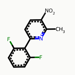 Cc1nc(-c2c(F)cccc2F)ccc1[N+](=O)[O-]